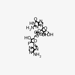 Nc1nc2c(ncn2[C@@H]2O[C@H](CO)C(O)C2OP(=O)(O)OC[C@H]2O[C@@H](n3cnc4c(N)ncnc43)C(F)C2O)c(=O)[nH]1